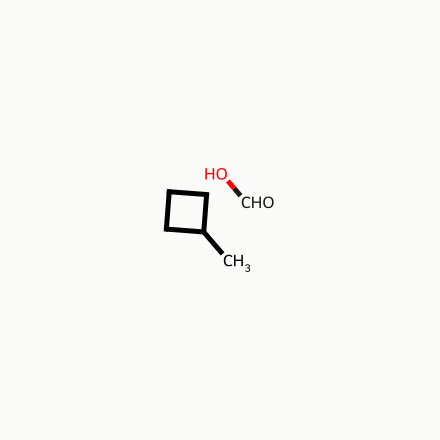 CC1CCC1.O=CO